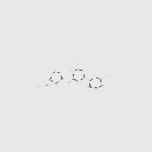 FCc1cccc(-c2nc(Cl)nc(Nc3ccnc(C(F)(F)F)c3)n2)n1